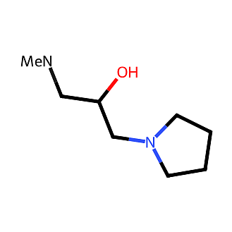 CNCC(O)CN1CCCC1